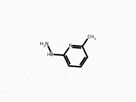 Cc1cccc(BN)n1